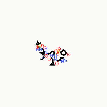 C/C=C\[C@@H]1C[C@]1(NC(=O)C1C[C@H](OS(=O)(=O)c2ccc(Br)cc2)CN1C(=O)[C@@H](NC(=O)c1ccn(C)n1)C1CC1)C(=O)NS(=O)(=O)C1(C)CC1